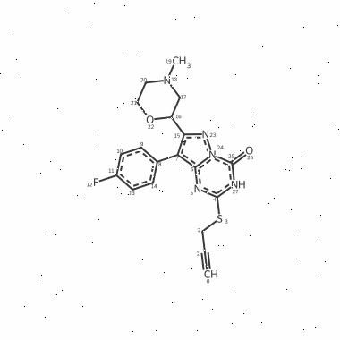 C#CCSc1nc2c(-c3ccc(F)cc3)c(C3CN(C)CCO3)nn2c(=O)[nH]1